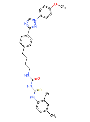 Cc1ccc(NC(=S)NC(=O)NCCCCc2ccc(-c3ncn(-c4ccc(OC(F)(F)F)cc4)n3)cc2)c(C(C)C)c1